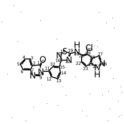 O=c1c2ccccc2ncn1-c1cccc(-c2nsc(Nc3ccc4[nH]ncc4c3Cl)n2)c1